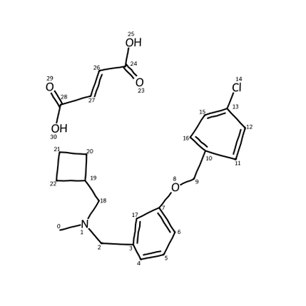 CN(Cc1cccc(OCc2ccc(Cl)cc2)c1)CC1CCC1.O=C(O)C=CC(=O)O